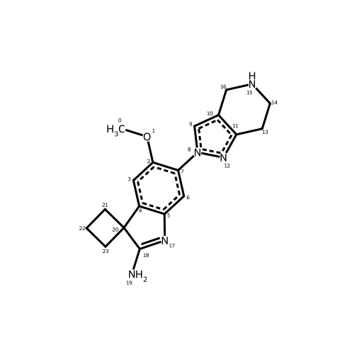 COc1cc2c(cc1-n1cc3c(n1)CCNC3)N=C(N)C21CCC1